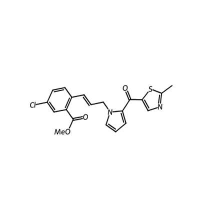 COC(=O)c1cc(Cl)ccc1/C=C/Cn1cccc1C(=O)c1cnc(C)s1